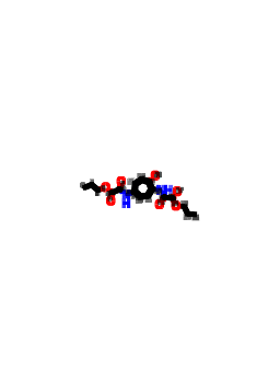 CCCOC(=O)C(=O)Nc1ccc(NC(=O)C(=O)OCCC)c(=O)cc1